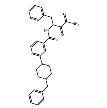 NC(=O)C(=O)C(Cc1ccccc1)NC(=O)c1ccnc(N2CCN(Cc3ccccc3)CC2)c1